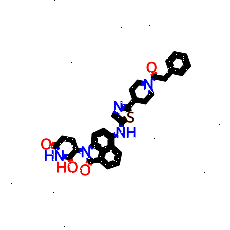 O=C1CCC(N2C(=O)c3cccc4c(Nc5cnc(C6CCN(C(=O)Cc7ccccc7)CC6)s5)ccc2c34)C(O)N1